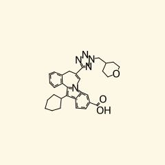 O=C(O)c1ccc2c(C3CCCCC3)c3n(c2c1)C=C(c1nnn(CC2CCOCC2)n1)Cc1ccccc1-3